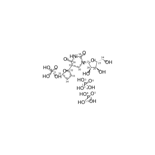 O=P(O)(O)O.O=P(O)(O)O.O=P(O)(O)O.O=c1[nH]c(=O)n([C@@H]2O[C@H](CO)[C@@H](O)[C@H]2O)cc1-c1ccco1